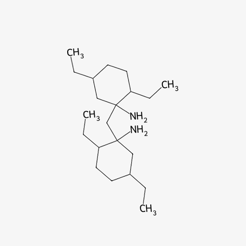 CCC1CCC(CC)C(N)(CC2(N)CC(CC)CCC2CC)C1